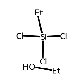 CCO.CC[Si](Cl)(Cl)Cl